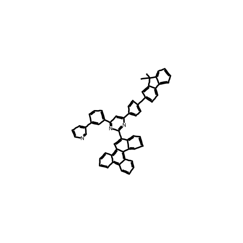 CC1(C)c2ccccc2-c2ccc(-c3ccc(-c4cc(-c5cccc(-c6cccnc6)c5)nc(-c5cc6c7ccccc7c7ccccc7c6c6ccccc56)n4)cc3)cc21